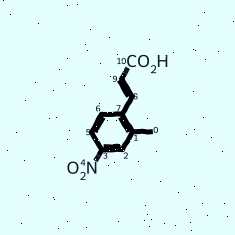 Cc1cc([N+](=O)[O-])ccc1C=CC(=O)O